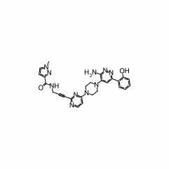 Cn1ccc(C(=O)NCC#Cc2nccc(N3CCN(c4cc(-c5ccccc5O)nnc4N)CC3)n2)n1